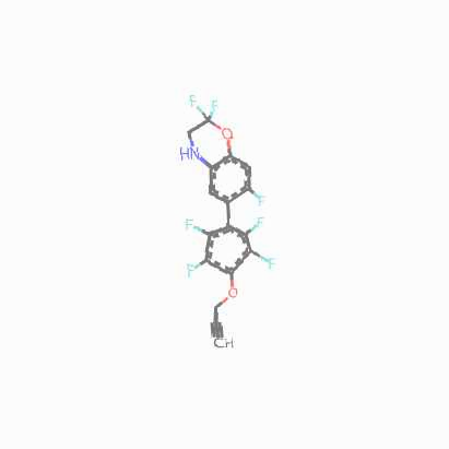 C#CCOc1c(F)c(F)c(-c2cc3c(cc2F)OC(F)(F)CN3)c(F)c1F